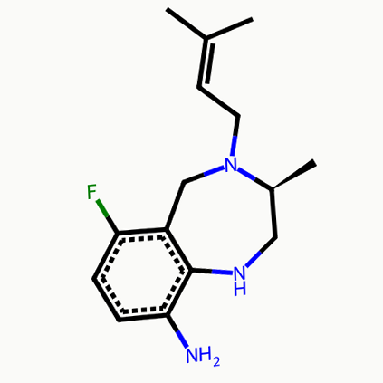 CC(C)=CCN1Cc2c(F)ccc(N)c2NC[C@@H]1C